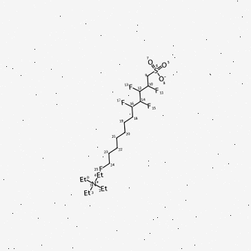 CC[N+](CC)(CC)CC.O=S(=O)([O-])CC(F)C(F)C(F)C(F)CCCCCCCF